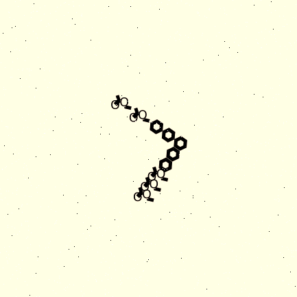 C1CCCCC1.C1CCCCC1.C1CCCCC1.C1CCCCC1.C1CCCCC1.CCOC(C)=O.CCOC(C)=O.CCOC(C)=O.CCOC(C)=O.CCOC(C)=O